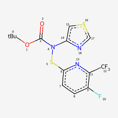 CC(C)(C)OC(=O)N(Sc1ccc(F)c(C(F)(F)F)n1)c1cscn1